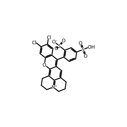 O=S(=O)([O-])c1cc(S(=O)(=O)O)ccc1C1=c2cc3c4c(c2Oc2cc(Cl)c(Cl)cc21)CCC[N+]=4CCC3